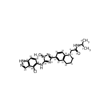 CC(C)NC(=O)CN1CCCc2cc(-c3nc(Nc4ccc5[nH]ncc5c4Cl)n(C)n3)ccc21